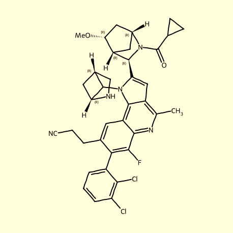 CO[C@@H]1C[C@H]2C[C@@H]1[C@H](c1cc3c(C)nc4c(F)c(-c5cccc(Cl)c5Cl)c(CCC#N)cc4c3n1C1[C@H]3CN[C@@H]1C3)N2C(=O)C1CC1